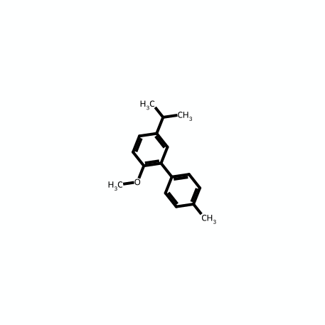 COc1ccc(C(C)C)cc1-c1ccc(C)cc1